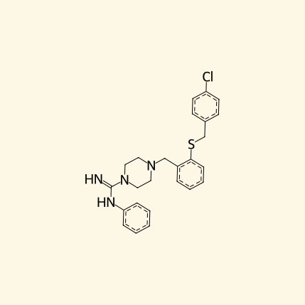 N=C(Nc1ccccc1)N1CCN(Cc2ccccc2SCc2ccc(Cl)cc2)CC1